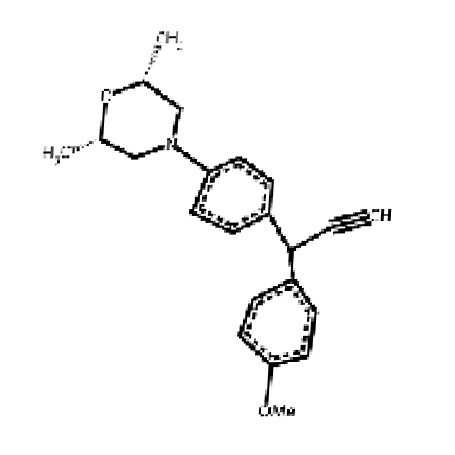 C#CC(c1ccc(OC)cc1)c1ccc(N2C[C@@H](C)O[C@@H](C)C2)cc1